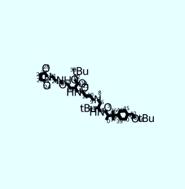 CC(C(=O)NC(CN(C)C/C=C/C(=O)NC(CCONCCN1C(=O)C=CC1=O)C(=O)OCC(C)(C)C)C(C)(C)C)C(C)(C)C1=CCC(COC(C)(C)C)C=C1